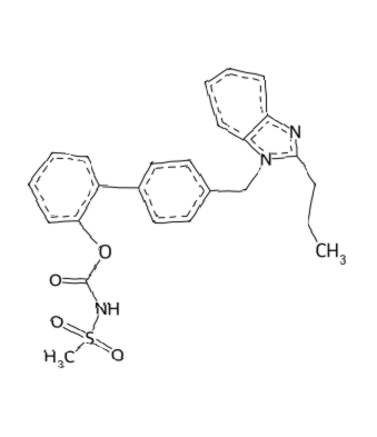 CCCc1nc2ccccc2n1Cc1ccc(-c2ccccc2OC(=O)NS(C)(=O)=O)cc1